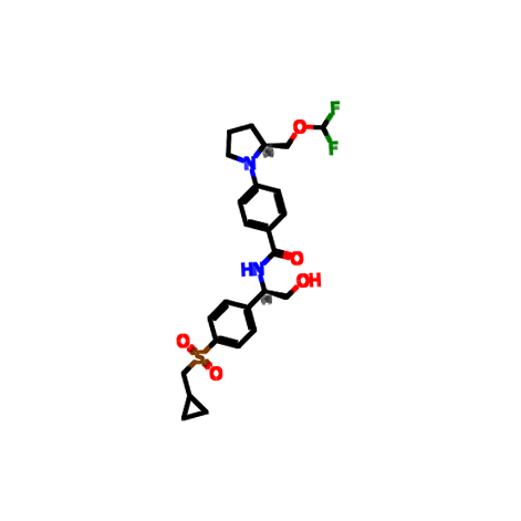 O=C(N[C@@H](CO)c1ccc(S(=O)(=O)CC2CC2)cc1)c1ccc(N2CCC[C@H]2COC(F)F)cc1